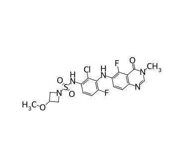 COC1CN(S(=O)(=O)Nc2ccc(F)c(Nc3ccc4ncn(C)c(=O)c4c3F)c2Cl)C1